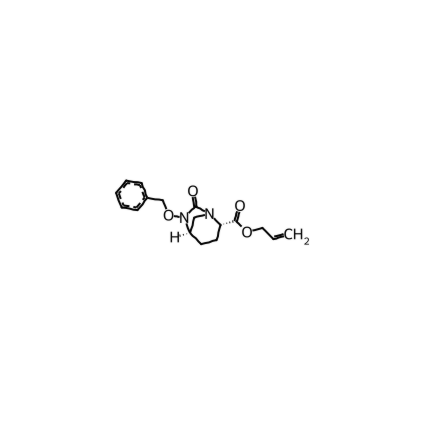 C=CCOC(=O)[C@@H]1CC[C@@H]2CN1C(=O)N2OCc1ccccc1